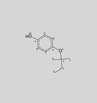 CCC(C)(C)Oc1ccc(O)cc1